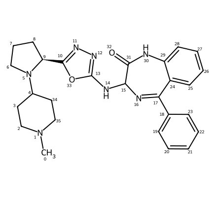 CN1CCC(N2CCC[C@H]2c2nnc(NC3N=C(c4ccccc4)c4ccccc4NC3=O)o2)CC1